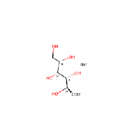 O=C([O-])[C@@H](O)[C@@H](O)[C@H](O)[C@@H](O)CO.[Na+]